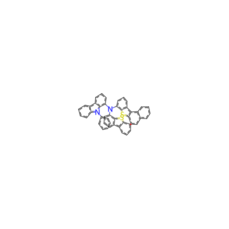 c1ccc(-n2c3ccccc3c3cccc(N(c4cccc5c4sc4ccccc45)c4cccc5c4sc4ccc6ccccc6c45)c32)cc1